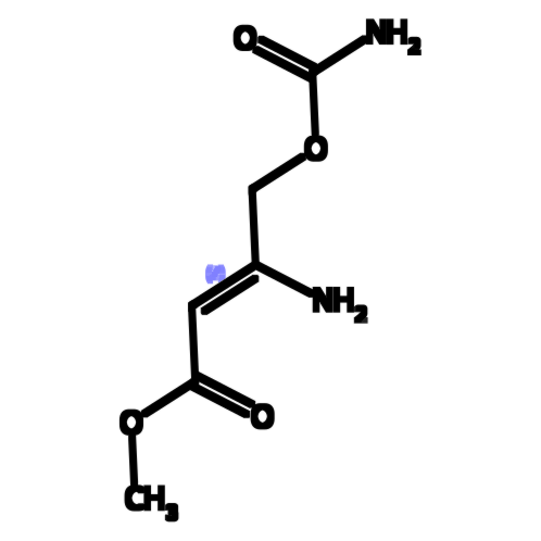 COC(=O)/C=C(\N)COC(N)=O